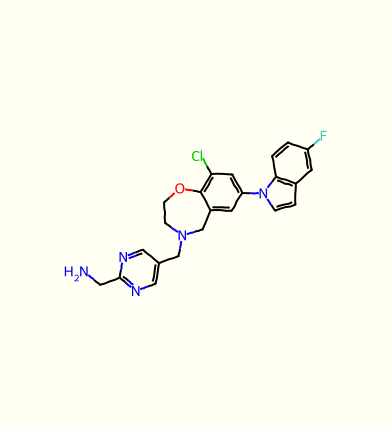 NCc1ncc(CN2CCOc3c(Cl)cc(-n4ccc5cc(F)ccc54)cc3C2)cn1